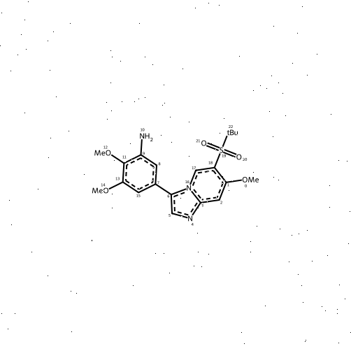 COc1cc2ncc(-c3cc(N)c(OC)c(OC)c3)n2cc1S(=O)(=O)C(C)(C)C